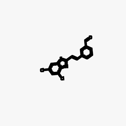 O=Cc1cccc(C=Cc2nc3c(Cl)cc(Cl)cc3s2)c1